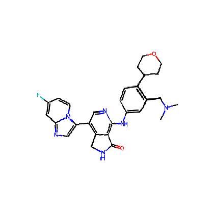 CN(C)Cc1cc(Nc2ncc(-c3cnc4cc(F)ccn34)c3c2C(=O)NC3)ccc1C1CCOCC1